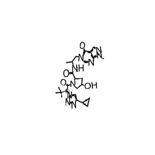 CC(Cn1cnc2c(cnn2C)c1=O)NC(=O)C1CC(O)CN1C(=O)[C@@H](n1cc(C2CC2)nn1)C(C)(C)C